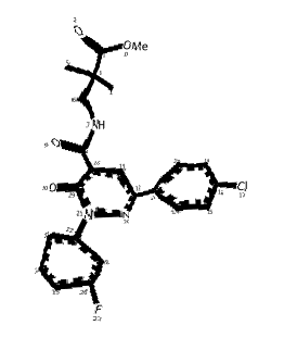 COC(=O)C(C)(C)CNC(=O)c1cc(-c2ccc(Cl)cc2)nn(-c2cccc(F)c2)c1=O